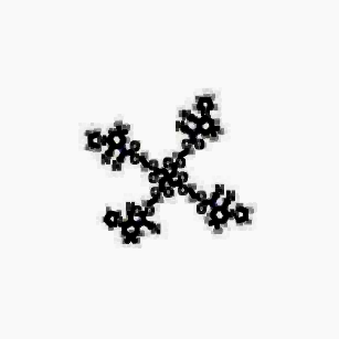 CC1(C)CC(N2CCCC2)=C(C#N)/C(=C(/C#N)C(=O)OCCOC(=O)CC(CC(=O)OCCOC(=O)/C(C#N)=C2\CC(C)(C)CC(N3CCCC3)=C2C#N)(CC(=O)OCCOC(=O)/C(C#N)=C2\CC(C)(C)CC(N3CCCC3)=C2C#N)CC(=O)OCCOC(=O)/C(C#N)=C2\CC(C)(C)CC(N3CCCC3)=C2C#N)C1